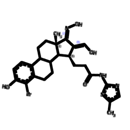 Cc1cnc(NC(=O)CC[C@@H]2C(=C\O)/C(=N\O)[C@@]3(C)CCC4c5ccc(O)c(Br)c5CCC4C23)s1